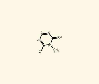 Cn1c(Cl)nncc1=O